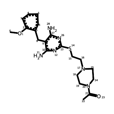 COc1ccccc1Cc1c(N)nc(SCCN2CCN(C(C)=O)CC2)nc1N